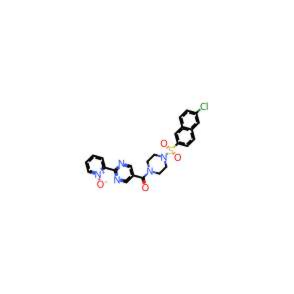 O=C(c1cnc(-c2cccc[n+]2[O-])nc1)N1CCN(S(=O)(=O)c2ccc3cc(Cl)ccc3c2)CC1